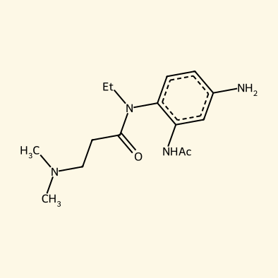 CCN(C(=O)CCN(C)C)c1ccc(N)cc1NC(C)=O